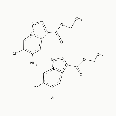 CCOC(=O)c1cnn2cc(Cl)c(Br)cc12.CCOC(=O)c1cnn2cc(Cl)c(N)cc12